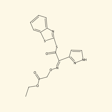 CCOC(=O)CO/N=C(\C(=O)Sc1nc2ccccc2s1)c1cc[nH]n1